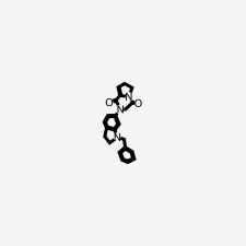 O=C1CN(c2ccc3c(c2)N(Cc2ccccc2)CC3)C(=O)C2=CCCN12